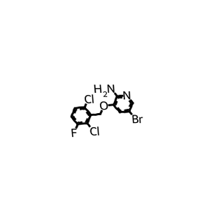 Nc1ncc(Br)cc1OCc1c(Cl)ccc(F)c1Cl